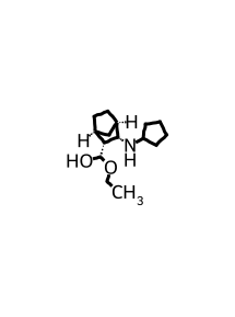 CCOC(O)[C@@H]1[C@H]2CC[C@H](C2)[C@@H]1NC1CCCC1